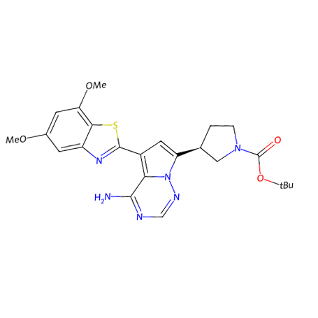 COc1cc(OC)c2sc(-c3cc([C@H]4CCN(C(=O)OC(C)(C)C)C4)n4ncnc(N)c34)nc2c1